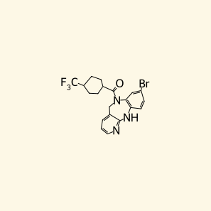 O=C(C1CCC(C(F)(F)F)CC1)N1Cc2cccnc2Nc2ccc(Br)cc21